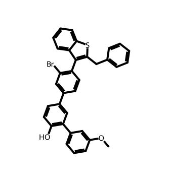 COc1cccc(-c2cc(-c3ccc(-c4c(Cc5ccccc5)sc5ccccc45)c(Br)c3)ccc2O)c1